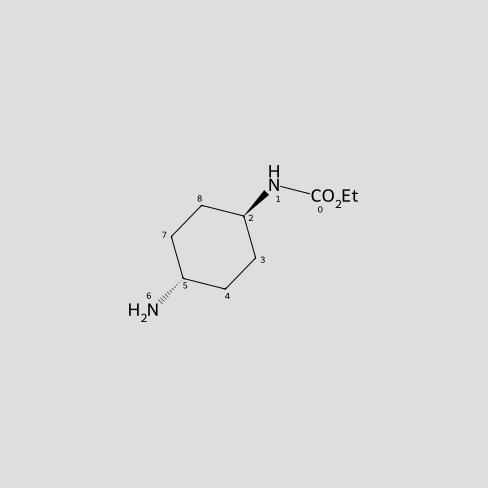 CCOC(=O)N[C@H]1CC[C@H](N)CC1